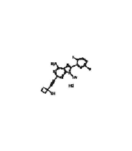 CCCn1c(-c2cc(F)ccc2F)nc2c(N)nc(C#CC3(O)CCC3)nc21.Cl